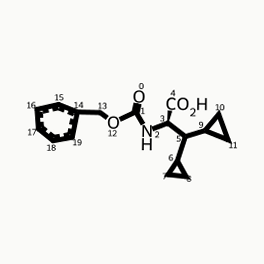 O=C(N[C@@H](C(=O)O)C(C1CC1)C1CC1)OCc1ccccc1